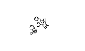 CC(=O)CN(C(=O)OCc1ccccc1)[C@H](C)c1cccc(Oc2ccccc2[N+](=O)[O-])c1